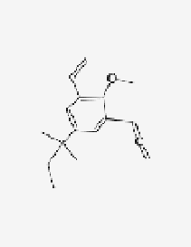 C=C=Cc1cc(C(C)(C)CC)cc(C=C)c1OC